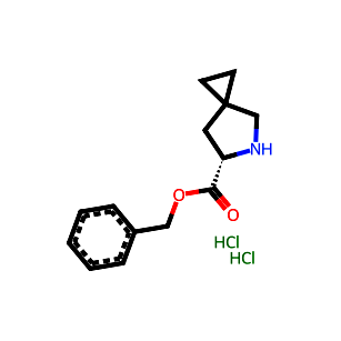 Cl.Cl.O=C(OCc1ccccc1)[C@@H]1CC2(CC2)CN1